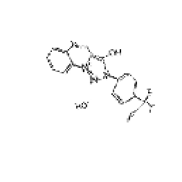 Oc1c2cnc3ccccc3[n+]2nn1-c1ccc(C(F)(F)F)cc1.[OH-]